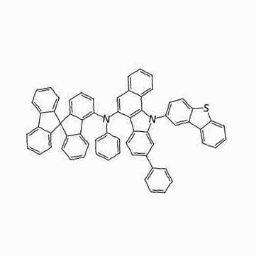 c1ccc(-c2ccc3c4c(N(c5ccccc5)c5cccc6c5-c5ccccc5C65c6ccccc6-c6ccccc65)cc5ccccc5c4n(-c4ccc5sc6ccccc6c5c4)c3c2)cc1